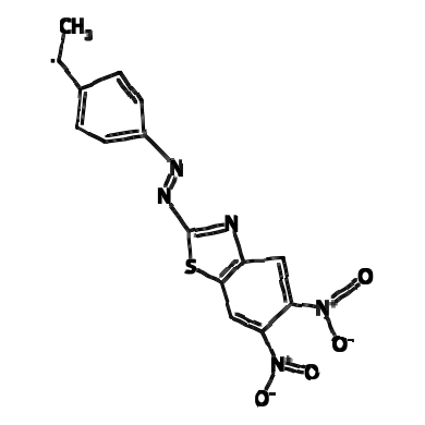 C[CH]c1ccc(N=Nc2nc3cc([N+](=O)[O-])c([N+](=O)[O-])cc3s2)cc1